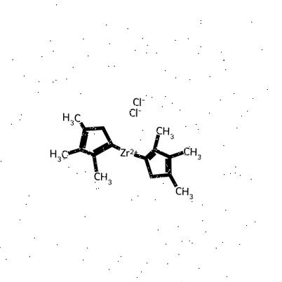 CC1=C(C)C(C)=[C]([Zr+2][C]2=C(C)C(C)=C(C)C2)C1.[Cl-].[Cl-]